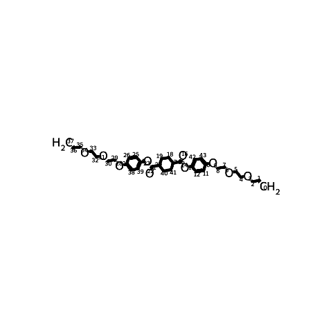 C=CCOCCOCCOc1ccc(OC(=O)C2CCC(C(=O)Oc3ccc(OCCOCCOCC=C)cc3)CC2)cc1